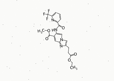 CCOC(=O)CCc1cn2cc(NC(=O)c3cccc(C(F)(F)F)n3)c(C(=O)OC)cc2n1